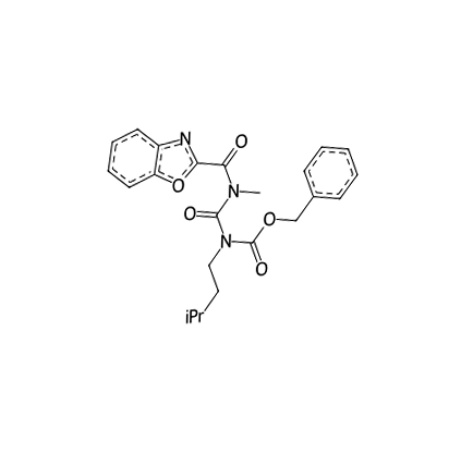 CC(C)CCN(C(=O)OCc1ccccc1)C(=O)N(C)C(=O)c1nc2ccccc2o1